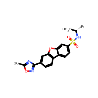 CC(C)[C@H](NS(=O)(=O)c1ccc2c(c1)oc1cc(-c3noc(C(C)(C)C)n3)ccc12)C(=O)O